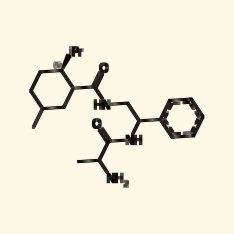 CC1CC[C@@H](C(C)C)C(C(=O)NCC(NC(=O)C(C)N)c2ccccc2)C1